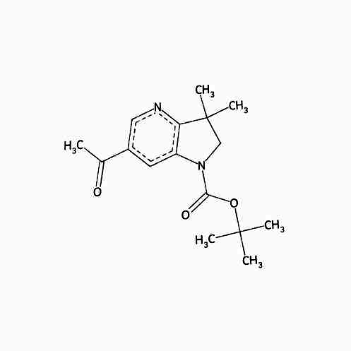 CC(=O)c1cnc2c(c1)N(C(=O)OC(C)(C)C)CC2(C)C